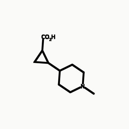 CN1CCC(C2CC2C(=O)O)CC1